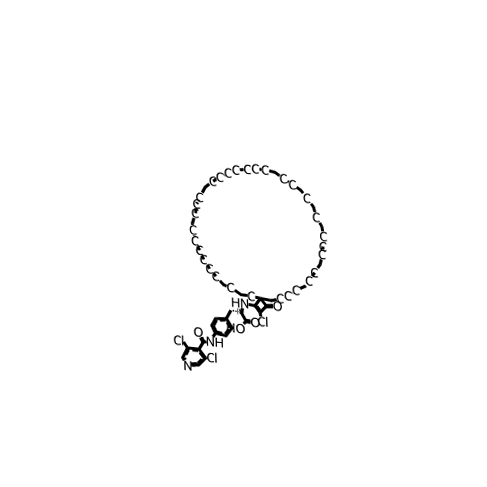 O=C(Nc1ccc(C[C@H](NC2=C(Cl)C(=O)C23CCCCCCCCCCCCCCCCCCCCCCCCCCCCCCCCCCCCCCCCC3)C(=O)O)cc1)c1c(Cl)cncc1Cl